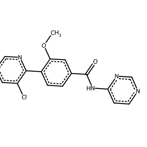 COc1cc(C(=O)Nc2ccncn2)ccc1-c1ncccc1Cl